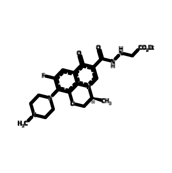 CCOC(=O)CNNC(=O)c1cn2c3c(c(N4CCN(C)CC4)c(F)cc3c1=O)OC[C@@H]2C